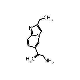 C=C(CN)c1ccc2nc(CC)cn2c1